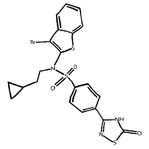 O=c1[nH]c(-c2ccc(S(=O)(=O)N(CCC3CC3)c3sc4ccccc4c3Br)cc2)ns1